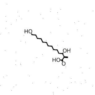 C=C(C(=O)O)C(O)CCCCCCCCCCCO